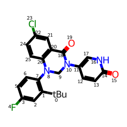 CC(C)(C)c1cc(F)ccc1N1CN(c2ccc(=O)[nH]c2)C(=O)c2cc(Cl)ccc21